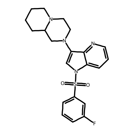 O=S(=O)(c1cccc(F)c1)n1cc(N2CCN3CCCCC3C2)c2ncccc21